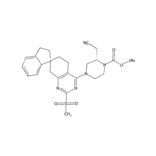 CC(C)(C)OC(=O)N1CCN(c2nc(S(C)(=O)=O)nc3c2CCC2(CCc4ccccc42)C3)C[C@@H]1CC#N